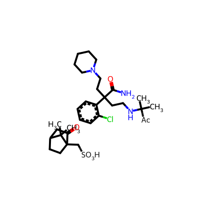 CC(=O)C(C)(C)NCCC(CCN1CCCCC1)(C(N)=O)c1ccccc1Cl.CC1(C)C2CCC1(CS(=O)(=O)O)C(=O)C2